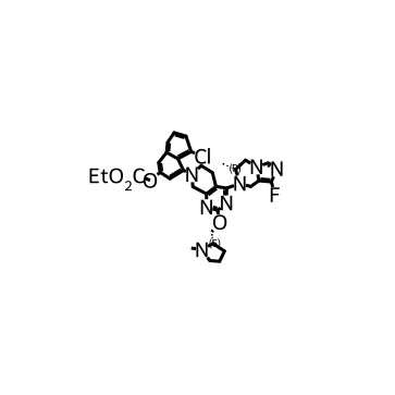 CCOC(=O)Oc1cc(N2CCc3c(nc(OC[C@@H]4CCCN4C)nc3N3Cc4c(F)ncn4C[C@H]3C)C2)c2c(Cl)cccc2c1